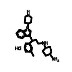 Cc1cccc(C(CCNC2CCC(N)CC2)c2cn(C3CCNCC3)c3ccccc23)c1.Cl